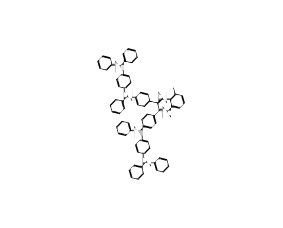 Cc1cccc2nc(-c3ccc(N(c4ccccc4)c4ccc(N(c5ccccc5)c5ccccc5)cc4)cc3)c(-c3ccc(N(c4ccccc4)c4ccc(N(c5ccccc5)c5ccccc5)cc4)cc3)nc12